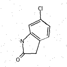 O=C1Cc2ccc(Cl)cc2[N]1